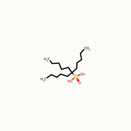 CCCCCC(CCCCC)(CCCCC)P(=O)(O)O